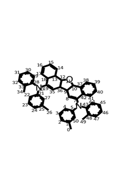 Cc1cccc(N(C2=CC3C(OC4C5C=CC=CC5C(N(c5cccc(C)c5)c5ccccc5C)=CC34)c3ccccc32)c2ccccc2C)c1